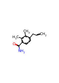 C=CCc1ccc(C(N)=O)c(C)c1C